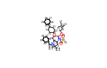 CCC1(CC)C[C@H](N(COCC[Si](C)(C)C)S(C)(=O)=O)[C@H](COC2CCC(c3ccccc3)CC2)N1Cc1ccccc1